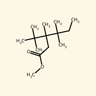 CCC(C)(C)C(C)(CC(=O)OC)C(C)(C)C